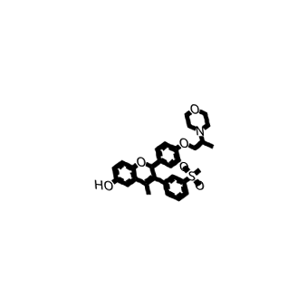 CC1=C(c2cccc(S(C)(=O)=O)c2)C(c2ccc(OCC(C)N3CCOCC3)cc2)Oc2ccc(O)cc21